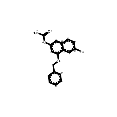 NC(=O)Oc1cc(OCc2ccccc2)c2cc(F)ccc2c1